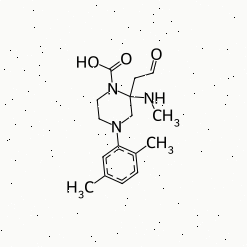 CNC1(CC=O)CN(c2cc(C)ccc2C)CCN1C(=O)O